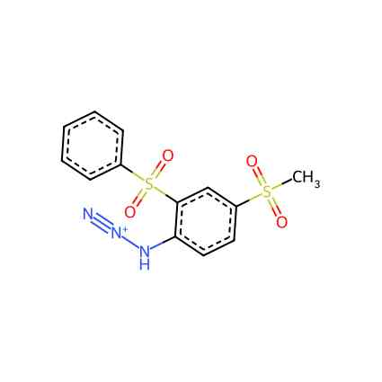 CS(=O)(=O)c1ccc(N[N+]#N)c(S(=O)(=O)c2ccccc2)c1